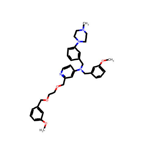 COc1cccc(COCCOCc2cc(N(Cc3cccc(OC)c3)Cc3cccc(N4CCN(C)CC4)c3)ccn2)c1